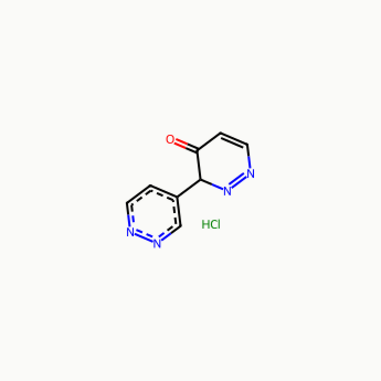 Cl.O=C1C=CN=NC1c1ccnnc1